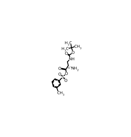 Cc1cccc(S(=O)(=O)OC(=O)[C@@H](N)CNC(=O)OC(C)(C)C)c1